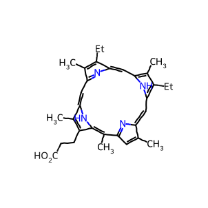 CCC1=C(C)c2cc3[nH]c(c(C)c4nc(cc5[nH]c(cc1n2)c(C)c5CC)C(C)=C4)c(CCC(=O)O)c3C